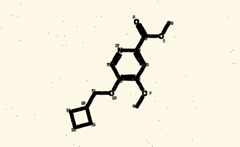 COC(=O)c1cc(OC)c(OCC2CCC2)cn1